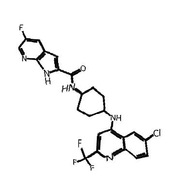 O=C(NC1CCC(Nc2cc(C(F)(F)F)nc3ccc(Cl)cc23)CC1)c1cc2cc(F)cnc2[nH]1